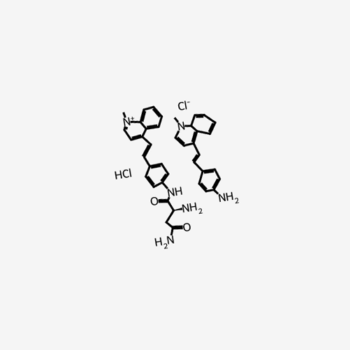 CN1C=CC(C=Cc2ccc(N)cc2)=C2C=CC=CC21.C[n+]1ccc(C=Cc2ccc(NC(=O)[C@@H](N)CC(N)=O)cc2)c2ccccc21.Cl.[Cl-]